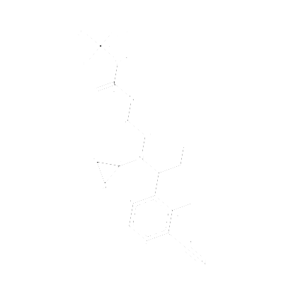 CCC(c1cccc(C#N)c1F)N(CCNC(=O)OC(C)(C)C)C1CC1